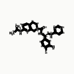 CC(C)Nc1ncc2c(n1)CN(C(=O)N[C@H](CNc1ccncn1)c1ccc(F)c(Cl)c1)CC2